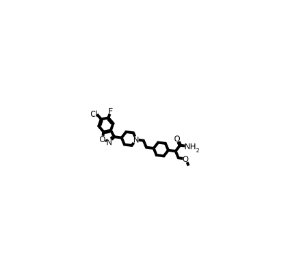 COCC(C(N)=O)C1CCC(CCN2CCC(c3noc4cc(Cl)c(F)cc34)CC2)CC1